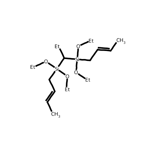 CC=CC[Si](OCC)(OCC)C(CC)[Si](CC=CC)(OCC)OCC